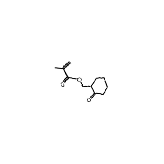 C=C(C)C(=O)OCC1CCCCC1=O